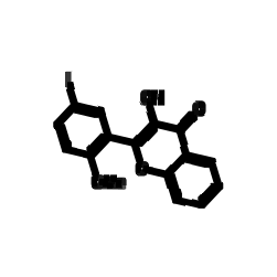 COc1ccc(I)cc1-c1oc2ccccc2c(=O)c1O